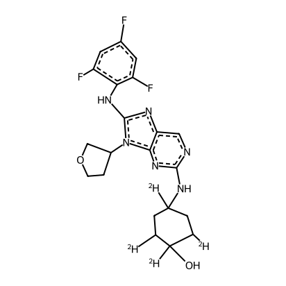 [2H]C1CC([2H])(Nc2ncc3nc(Nc4c(F)cc(F)cc4F)n(C4CCOC4)c3n2)CC([2H])C1([2H])O